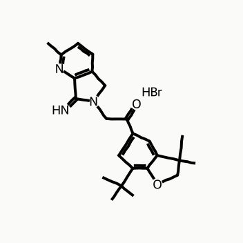 Br.Cc1ccc2c(n1)C(=N)N(CC(=O)c1cc(C(C)(C)C)c3c(c1)C(C)(C)CO3)C2